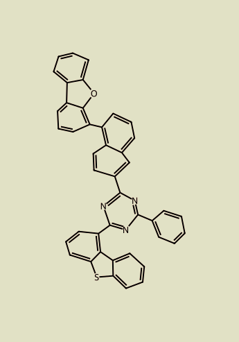 c1ccc(-c2nc(-c3ccc4c(-c5cccc6c5oc5ccccc56)cccc4c3)nc(-c3cccc4sc5ccccc5c34)n2)cc1